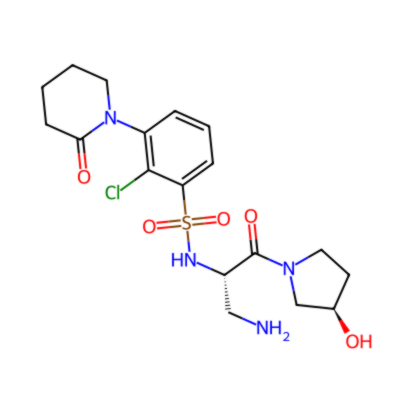 NC[C@H](NS(=O)(=O)c1cccc(N2CCCCC2=O)c1Cl)C(=O)N1CC[C@@H](O)C1